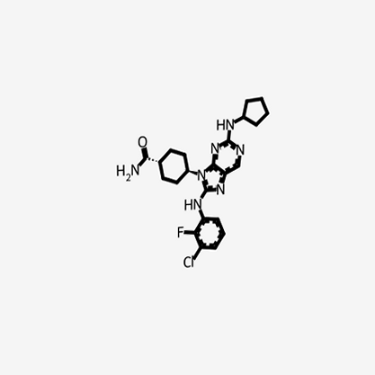 NC(=O)[C@H]1CC[C@H](n2c(Nc3cccc(Cl)c3F)nc3cnc(NC4CCCC4)nc32)CC1